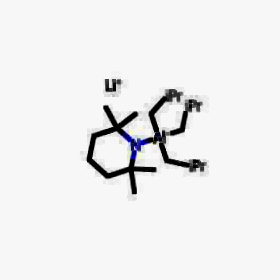 CC(C)[CH2][Al-]([CH2]C(C)C)([CH2]C(C)C)[N]1C(C)(C)CCCC1(C)C.[Li+]